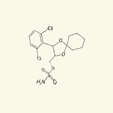 NS(=O)(=O)OCC1OC2(CCCCC2)OC1c1c(Cl)cccc1Cl